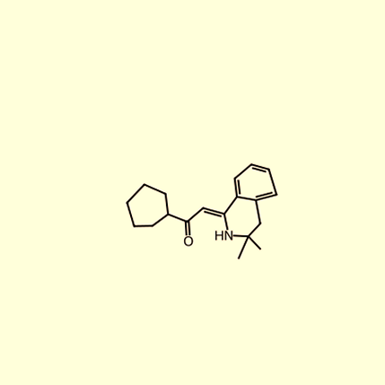 CC1(C)Cc2ccccc2C(=CC(=O)C2CCCCC2)N1